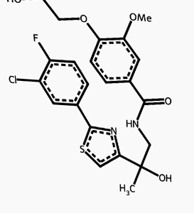 COc1cc(C(=O)NCC(C)(O)c2csc(-c3ccc(F)c(Cl)c3)n2)ccc1OCCO